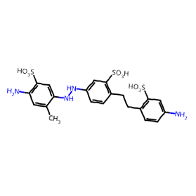 Cc1cc(N)c(S(=O)(=O)O)cc1NNc1ccc(CCc2ccc(N)cc2S(=O)(=O)O)c(S(=O)(=O)O)c1